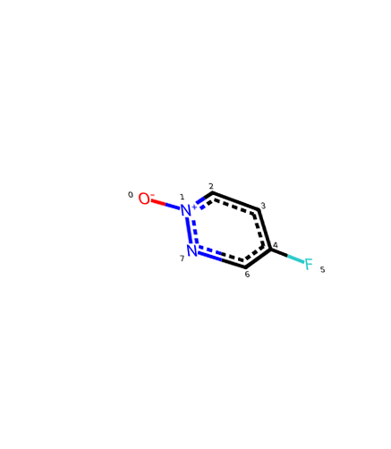 [O-][n+]1ccc(F)cn1